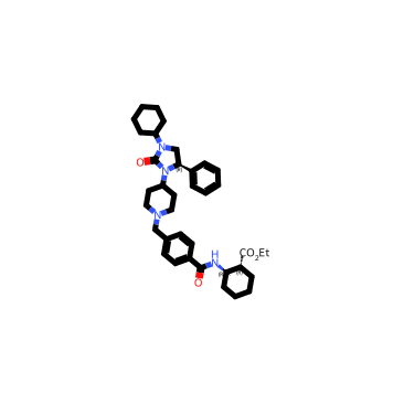 CCOC(=O)[C@@H]1CCCC[C@H]1NC(=O)c1ccc(CN2CCC(N3C(=O)N(C4CCCCC4)C[C@H]3c3ccccc3)CC2)cc1